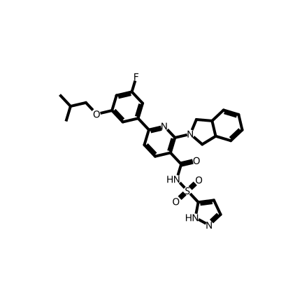 CC(C)COc1cc(F)cc(-c2ccc(C(=O)NS(=O)(=O)c3ccn[nH]3)c(N3CC4C=CC=CC4C3)n2)c1